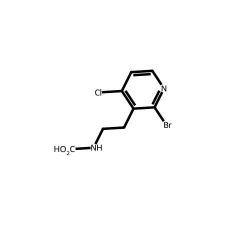 O=C(O)NCCc1c(Cl)ccnc1Br